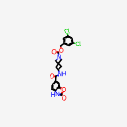 O=C(NC1CC2(C1)CN(C(=O)OCc1cc(Cl)cc(Cl)c1)C2)c1ccc2[nH]c(=O)oc2c1